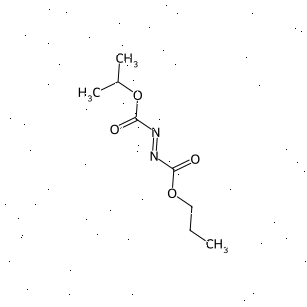 CCCOC(=O)N=NC(=O)OC(C)C